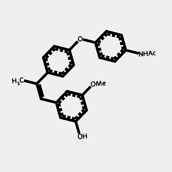 COc1cc(O)cc(/C=C(/C)c2ccc(Oc3ccc(NC(C)=O)cc3)cc2)c1